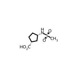 CS(=O)(=O)N[C@H]1CC[C@@H](C(=O)O)C1